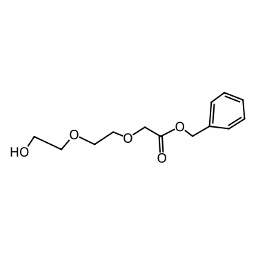 O=C(COCCOCCO)OCc1ccccc1